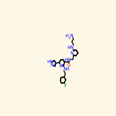 NCCCNc1cccc(CNC(=O)c2ccc(-c3cn[nH]c3)nc2NCCc2cccc(F)c2)n1